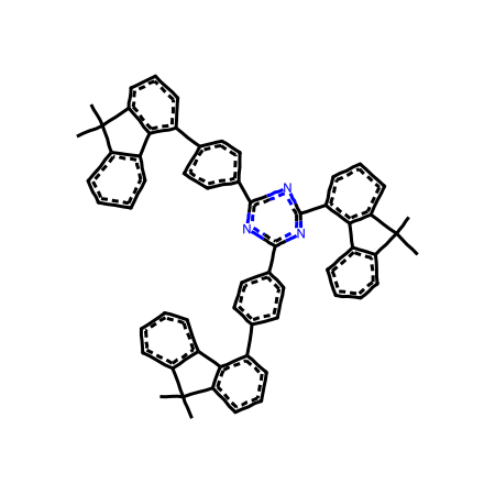 CC1(C)c2ccccc2-c2c(-c3ccc(-c4nc(-c5ccc(-c6cccc7c6-c6ccccc6C7(C)C)cc5)nc(-c5cccc6c5-c5ccccc5C6(C)C)n4)cc3)cccc21